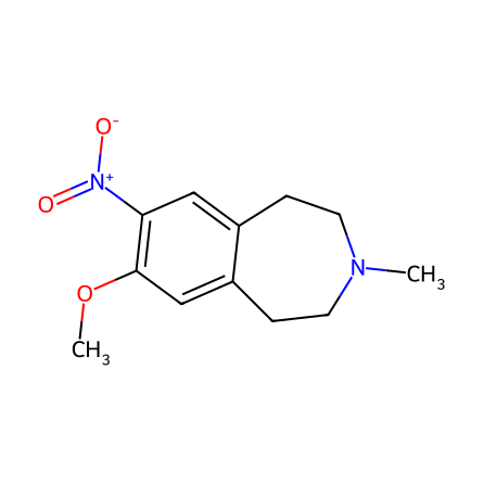 COc1cc2c(cc1[N+](=O)[O-])CCN(C)CC2